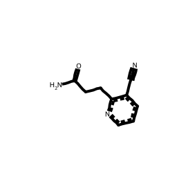 N#Cc1cccnc1CCC(N)=O